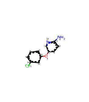 Nc1ccc(Oc2cccc(Cl)c2)cn1